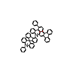 c1ccc(-c2ccccc2-c2ccccc2N(c2ccc3c4ccccc4c4ccccc4c3c2)c2cccc3c2-c2ccccc2C32c3ccccc3N(c3ccccc3)c3ccccc32)cc1